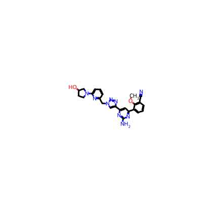 COc1c(C#N)cccc1-c1cc(-c2cn(Cc3cccc(N4CCC(O)C4)n3)nn2)nc(N)n1